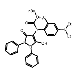 CCCCOC(=O)N(c1ccc(N(CC)CC)cc1C)c1c(O)n(-c2ccccc2)n(-c2ccccc2)c1=O